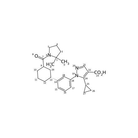 CC1(C)CCCN1C(=O)C1CCC[C@@H](c2cccc(-n3ncc(C(=O)O)c3C3CC3)c2)C1